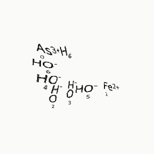 [AsH6+3].[Fe+2].[OH-].[OH-].[OH-].[OH-].[OH-]